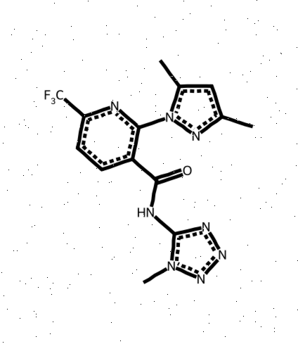 Cc1cc(C)n(-c2nc(C(F)(F)F)ccc2C(=O)Nc2nnnn2C)n1